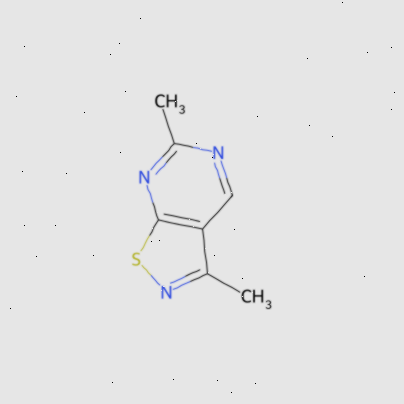 Cc1ncc2c(C)nsc2n1